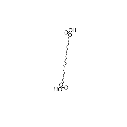 O=C(O)OCCCCCCCCCC=CCCCCCCCCCOC(=O)O